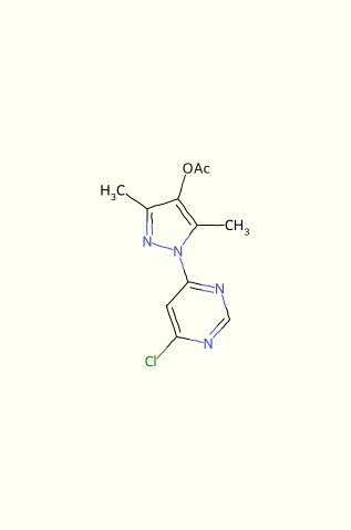 CC(=O)Oc1c(C)nn(-c2cc(Cl)ncn2)c1C